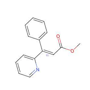 COC(=O)/C=C(\c1ccccc1)c1ccccn1